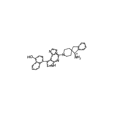 N[C@@H]1c2ccccc2CC12CCN(c1nc3[nH]cc(-c4ccc(O)c5ccccc45)c3c3nccn13)CC2